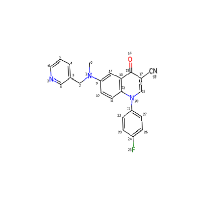 CN(Cc1cccnc1)c1ccc2c(c1)c(=O)c(C#N)cn2-c1ccc(F)cc1